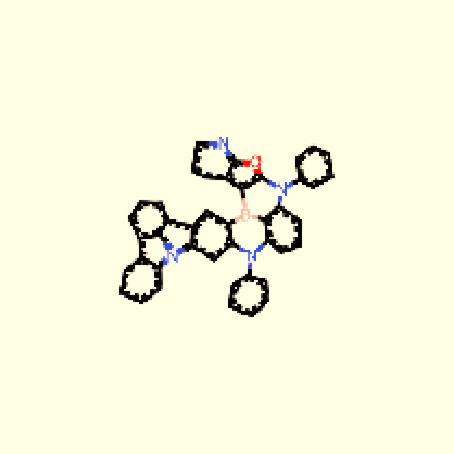 c1ccc(N2c3cc4c(cc3B3c5c2cccc5N(c2ccccc2)c2oc5ncccc5c23)c2cccc3c5ccccc5n4c32)cc1